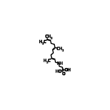 CC(C)=CCCC(C)=CCCC(C)=CCNCCP(=O)(O)O